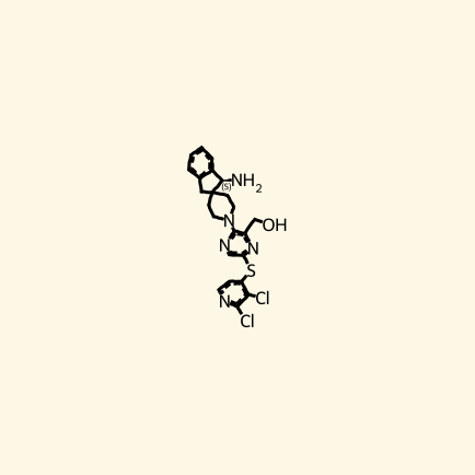 N[C@@H]1c2ccccc2CC12CCN(c1ncc(Sc3ccnc(Cl)c3Cl)nc1CO)CC2